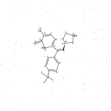 CC(C)(C)c1ccc(C(=C[C@H]2CCNC2)c2ccc(Cl)c(=O)[nH]2)cc1